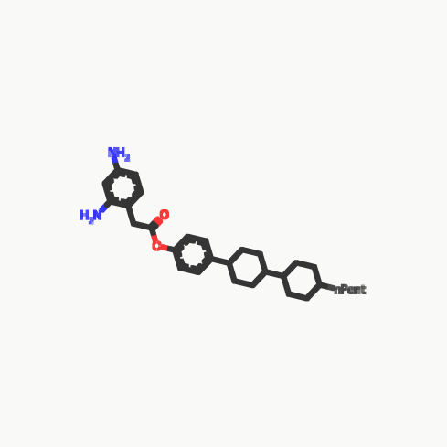 CCCCCC1CCC(C2CCC(c3ccc(OC(=O)Cc4ccc(N)cc4N)cc3)CC2)CC1